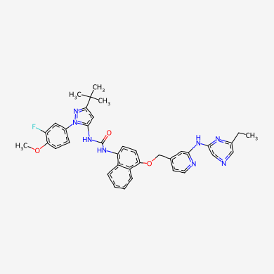 CCc1cncc(Nc2cc(COc3ccc(NC(=O)Nc4cc(C(C)(C)C)nn4-c4ccc(OC)c(F)c4)c4ccccc34)ccn2)n1